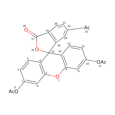 CC(=O)Oc1ccc2c(c1)Oc1cc(OC(C)=O)ccc1C21OC(=O)c2ccc(C(C)=O)cc21